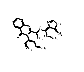 C=C/C=C(\C=C)n1c(C(C)N/C(NC)=c2\nc[nH]c2=C)nc2ccccc2c1=O